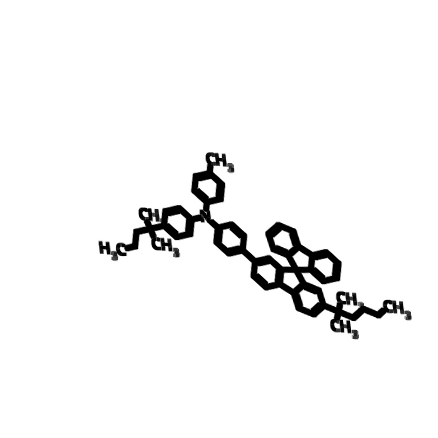 CCCCC(C)(C)c1ccc2c(c1)C1(c3ccccc3-c3ccccc31)c1cc(-c3ccc(N(c4ccc(C)cc4)c4ccc(C(C)(C)CCC)cc4)cc3)ccc1-2